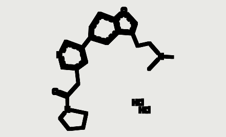 CN(C)CCc1coc2ccc(-c3cncc(CC(=O)N4CCCC4)c3)cc12.Cl.Cl